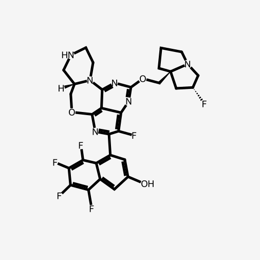 Oc1cc(-c2nc3c4c(nc(OC[C@@]56CCCN5C[C@H](F)C6)nc4c2F)N2CCNC[C@H]2CO3)c2c(F)c(F)c(F)c(F)c2c1